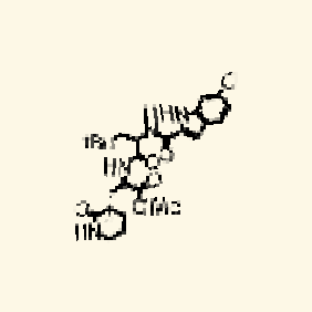 COC(=O)C(C[C@@H]1CCCNC1=O)NC(=O)C(CC(C)(C)C)NC(=O)c1cc2ccc(Cl)cc2[nH]1